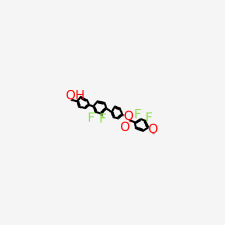 COc1ccc(C(=O)Oc2ccc(-c3ccc(-c4ccc(CO)cc4)c(F)c3F)cc2)c(F)c1F